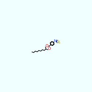 CCCCCCCCC1COC(c2ccc(N=C=S)cc2)OC1